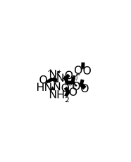 CC(=O)OC[C@H]1O[C@@H](n2c[n+](C)c3c(=O)[nH]c(N)nc32)[C@H](OC(C)=O)[C@@H]1OC(C)=O